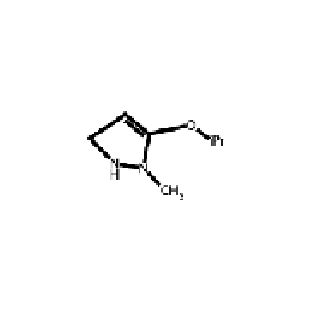 CC(C)OC1=CCNN1C